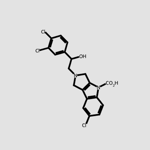 O=C(O)n1c2c(c3cc(Cl)ccc31)CN(CC(O)c1ccc(Cl)c(Cl)c1)C2